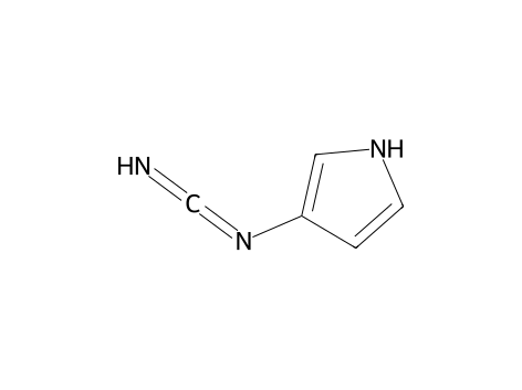 N=C=Nc1cc[nH]c1